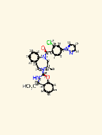 C[C@@H]1CN(C(=O)c2ccc(-n3cccn3)cc2Cl)c2ccccc2CN1C(=O)N[C@@H](C(=O)O)c1ccccc1